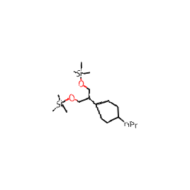 CCCC1CCC(C(CO[Si](C)(C)C)CO[Si](C)(C)C)CC1